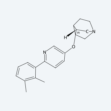 Cc1cccc(-c2ccc(O[C@H]3CN4CCC3CC4)cn2)c1C